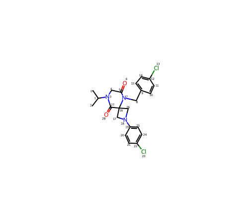 CC(C)N1CC(=O)N(Cc2ccc(Cl)cc2)C2(CN(c3ccc(Cl)cc3)C2)C1=O